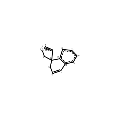 C=CC1(COC)CC=Cc2ccccc21